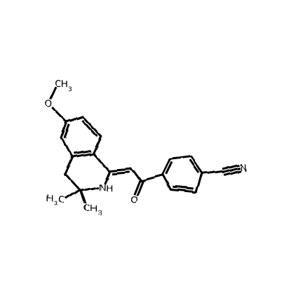 COc1ccc2c(c1)CC(C)(C)NC2=CC(=O)c1ccc(C#N)cc1